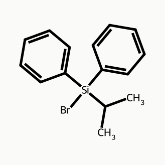 CC(C)[Si](Br)(c1ccccc1)c1ccccc1